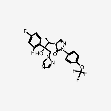 C[C@@H](n1cnn(-c2ccc(OC(F)(F)F)cc2)c1=O)[C@](O)(Cn1cncn1)c1ccc(F)cc1F